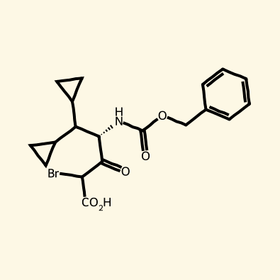 O=C(N[C@H](C(=O)C(Br)C(=O)O)C(C1CC1)C1CC1)OCc1ccccc1